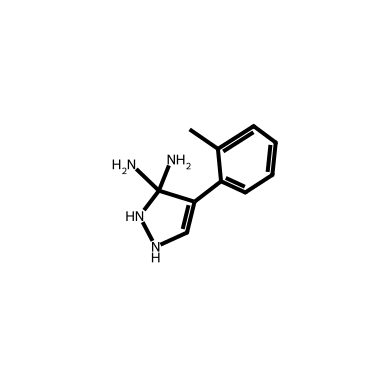 Cc1ccccc1C1=CNNC1(N)N